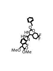 COCC(C(=O)OC)c1ccc2[nH]c([C@@H](NC(=O)OCc3ccccc3)C3CCC(F)(F)CC3)nc2c1F